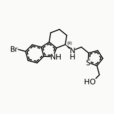 OCc1ccc(CN[C@@H]2CCCc3c2[nH]c2ccc(Br)cc32)s1